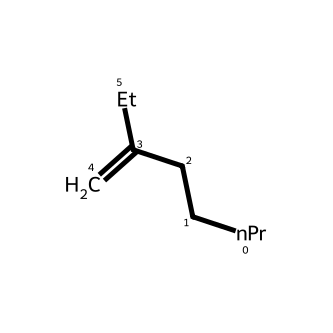 [CH2]CCCCC(=C)CC